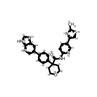 Cc1nc(-c2ccc(NC(=O)C3(c4ccc(-c5cnc6[nH]cnc6c5)cc4)CCOCC3)nc2)cs1